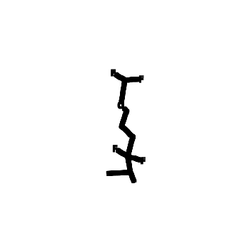 CC(C)C(F)(F)CCCOC(F)F